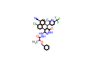 Cc1nc(C(F)(F)F)ccc1C(c1ccc(C#N)cc1)c1c(-c2ccc(Cl)cc2)c(NNC(=O)[C@@H](C)OCc2ccccc2)n[nH]c1=O